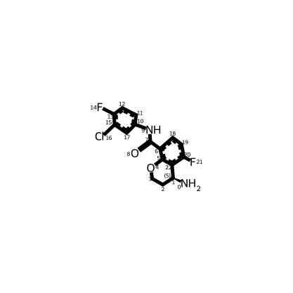 N[C@H]1CCOc2c(C(=O)Nc3ccc(F)c(Cl)c3)ccc(F)c21